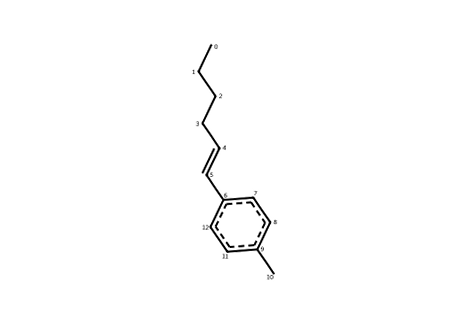 CCCCC=Cc1ccc(C)cc1